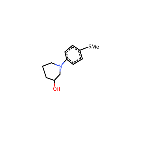 CSc1ccc(N2CCCC(O)C2)cc1